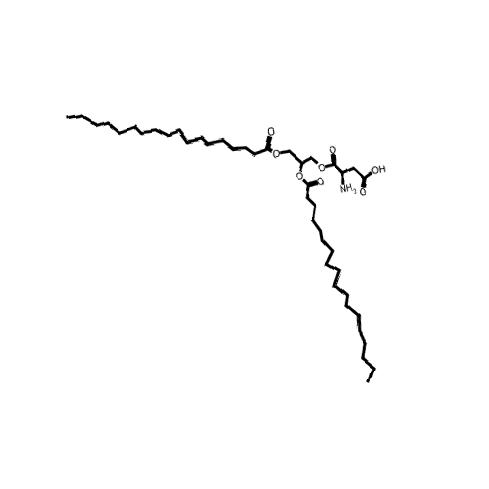 CCCCCCCCCCCCCCCCCC(=O)OCC(COC(=O)C(N)CC(=O)O)OC(=O)CCCCCCCCCCCCCCCCC